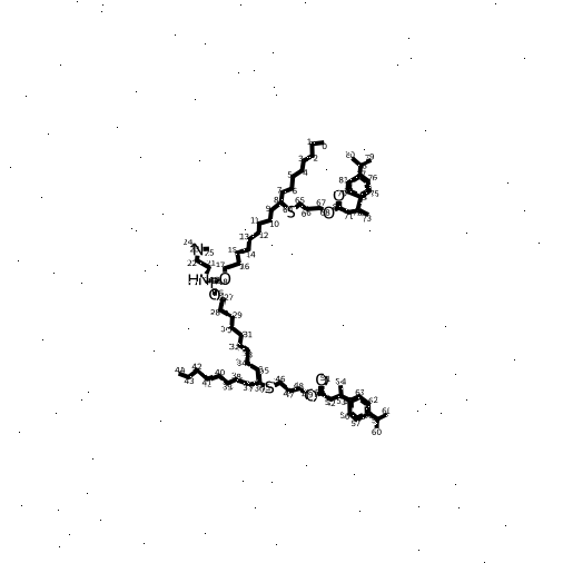 CCCCCCCCC(CCCCCCCCCOP(NCCN(C)C)OCCCCCCCCCC(CCCCCCCC)SCCCOC(=O)CC(C)c1ccc(C(C)C)cc1)SCCCOC(=O)CC(C)c1ccc(C(C)C)cc1